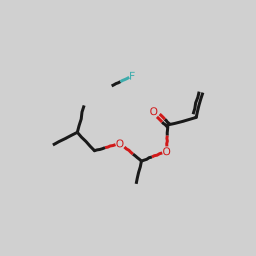 C=CC(=O)OC(C)OCC(C)C.CF